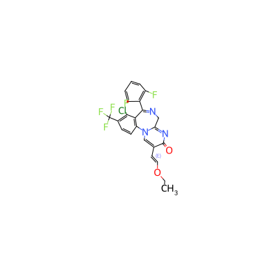 CCO/C=C/c1cn2c(nc1=O)CN=C(c1c(F)cccc1F)c1c-2ccc(C(F)(F)F)c1Cl